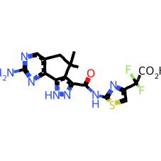 CC1(C)Cc2cnc(N)nc2-c2[nH]nc(C(=O)Nc3nc(C(F)(F)C(=O)O)cs3)c21